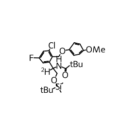 [2H]C(CO[Si](C)(C)C(C)(C)C)(NC(=O)C(C)(C)C)c1cc(F)cc(Cl)c1COc1ccc(OC)cc1